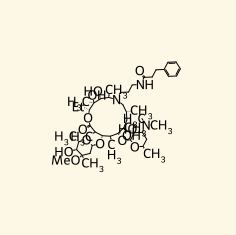 CC[C@H]1OC(=O)[C@H](C)[C@@H](O[C@H]2C[C@@](C)(OC)[C@@H](O)[C@H](C)O2)[C@H](C)[C@@H](O[C@@H]2O[C@H](C)C[C@H](N(C)C)[C@H]2O)[C@](C)(O)C[C@@H](C)CN(CCCNC(=O)CCc2ccccc2)[C@H](C)[C@@H](O)[C@]1(C)O